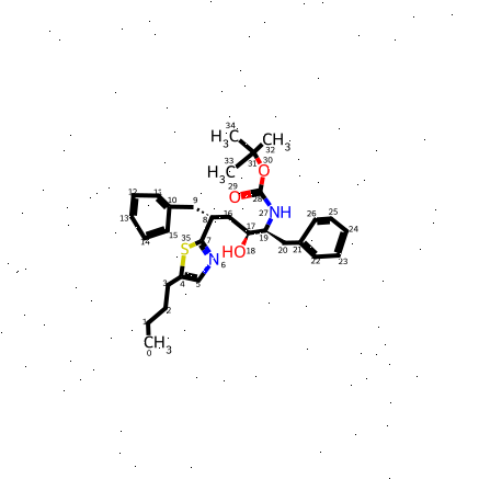 CCCCc1cnc([C@H](Cc2ccccc2)C[C@H](O)[C@H](Cc2ccccc2)NC(=O)OC(C)(C)C)s1